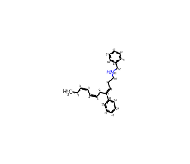 CC/C=C\C=C/C/C(=C\CCNCc1ccccc1)c1ccccc1